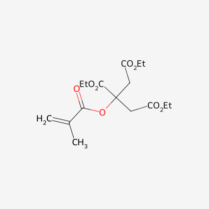 C=C(C)C(=O)OC(CC(=O)OCC)(CC(=O)OCC)C(=O)OCC